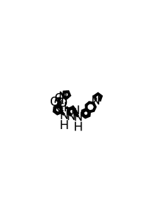 O=S(=O)(ON1CCCC1)c1cccc(Nc2nc(Nc3ccc4c(c3)CC[C@@H](N3CCCC3)CC4)ncc2Cl)c1